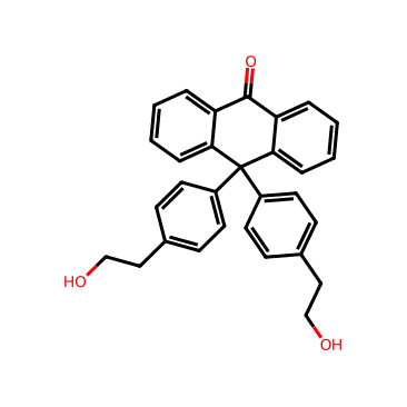 O=C1c2ccccc2C(c2ccc(CCO)cc2)(c2ccc(CCO)cc2)c2ccccc21